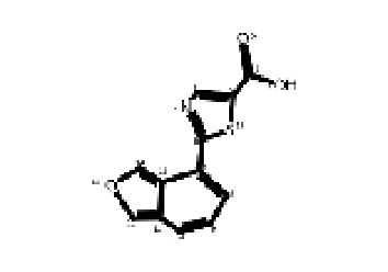 O=C(O)c1cnc(-c2cccc3cocc23)s1